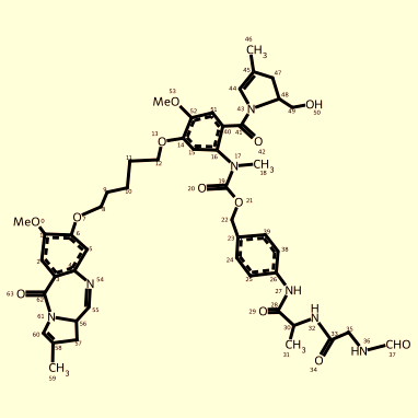 COc1cc2c(cc1OCCCCCOc1cc(N(C)C(=O)OCc3ccc(NC(=O)C(C)NC(=O)CNC=O)cc3)c(C(=O)N3C=C(C)CC3CO)cc1OC)N=CC1CC(C)=CN1C2=O